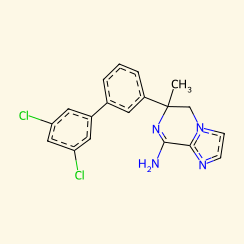 CC1(c2cccc(-c3cc(Cl)cc(Cl)c3)c2)Cn2ccnc2C(N)=N1